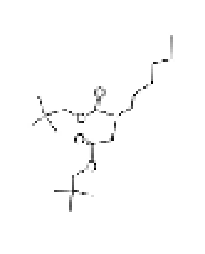 CCCCCCC(CC(=O)OCC(C)(C)C)C(=O)OCC(C)(C)C